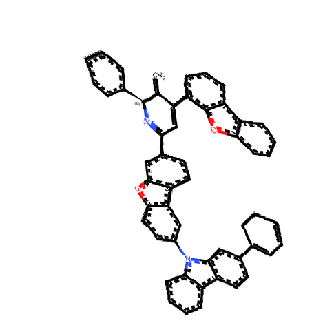 C=C1C(c2cccc3c2oc2ccccc23)=CC(c2ccc3c(c2)oc2ccc(-n4c5ccccc5c5ccc(C6=CC=CCC6)cc54)cc23)=N[C@H]1c1ccccc1